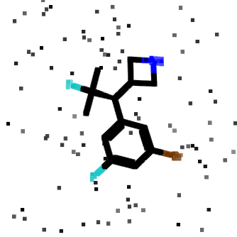 CC(C)(F)[C@H](c1cc(F)cc(Br)c1)C1CNC1